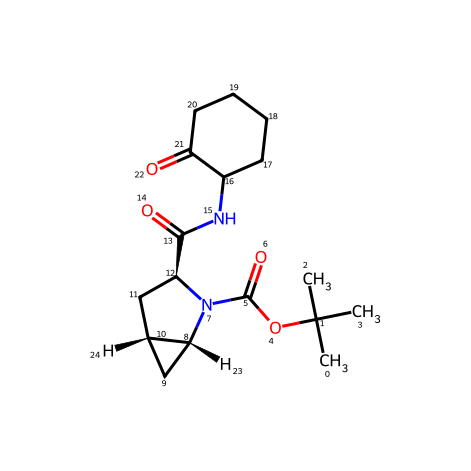 CC(C)(C)OC(=O)N1[C@@H]2C[C@@H]2C[C@H]1C(=O)NC1CCCCC1=O